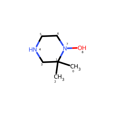 CC1(C)CNCCN1O